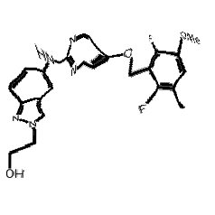 COc1cc(C)c(F)c(COc2cnc(Nc3ccc4nn(CCO)cc4c3)nc2)c1F